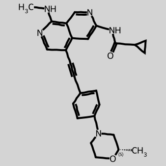 CNc1ncc(C#Cc2ccc(N3CCO[C@@H](C)C3)cc2)c2cc(NC(=O)C3CC3)ncc12